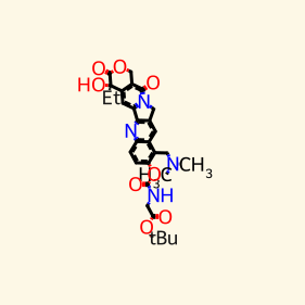 CC[C@@]1(O)C(=O)OCc2c1cc1n(c2=O)Cc2cc3c(CN(C)C)c(OC(=O)NCC(=O)OC(C)(C)C)ccc3nc2-1